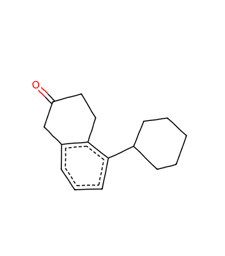 O=C1CCc2c(cccc2C2CCCCC2)C1